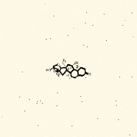 C[C@]12C=CC(=O)C=C1CC[C@@H]1C2[C@@H](O)C[C@@]2(C)[C@H]1C[C@H]1OCO[C@]12C(=O)CO